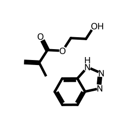 C=C(C)C(=O)OCCO.c1ccc2[nH]nnc2c1